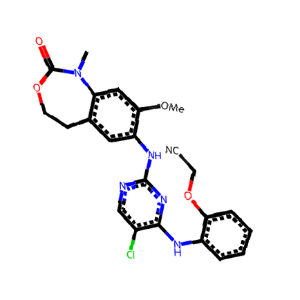 COc1cc2c(cc1Nc1ncc(Cl)c(Nc3ccccc3OCC#N)n1)CCOC(=O)N2C